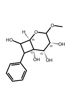 COC1O[C@@H]2C(O)C(c3ccccc3)[C@]2(O)[C@@H](O)[C@H]1O